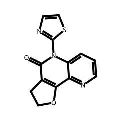 O=c1c2c(c3ncccc3n1-c1nccs1)OCC2